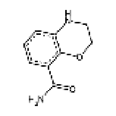 NC(=O)c1cccc2c1OCCN2